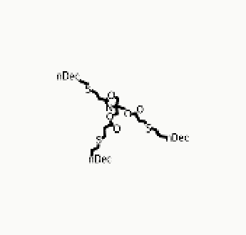 CCCCCCCCCCCCSCCC(=O)OCC1(COC(=O)CCSCCCCCCCCCCCC)COC(CCSCCCCCCCCCCCC)=N1